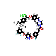 CC(C)c1ccc(CCOc2ccc(CN3CCN(C(=O)/C=C/c4ccc(Oc5ccc(OCc6cccc(F)c6F)cn5)c(F)c4)CC3)cc2)cc1.Cl